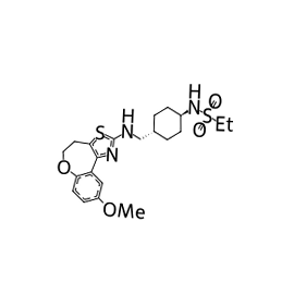 CCS(=O)(=O)N[C@H]1CC[C@H](CNc2nc3c(s2)CCOc2ccc(OC)cc2-3)CC1